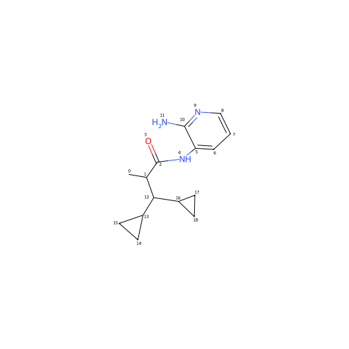 CC(C(=O)Nc1cccnc1N)C(C1CC1)C1CC1